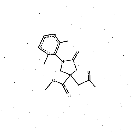 C=C(C)CC1(C(=O)OC)CC(=O)N(c2c(C)cccc2C)C1